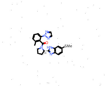 CSc1ccc2nc([C@@H]3CCCN3C(=O)c3c(C)cccc3-n3nccn3)[nH]c2c1